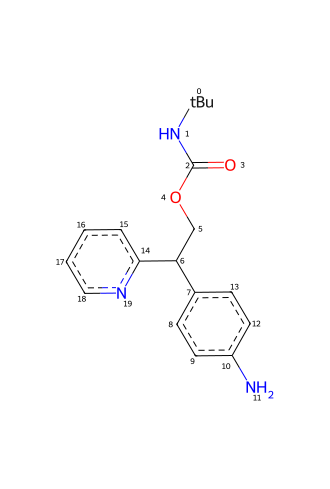 CC(C)(C)NC(=O)OCC(c1ccc(N)cc1)c1ccccn1